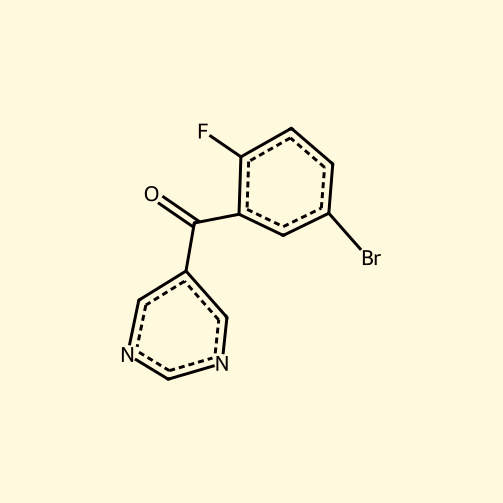 O=C(c1cncnc1)c1cc(Br)ccc1F